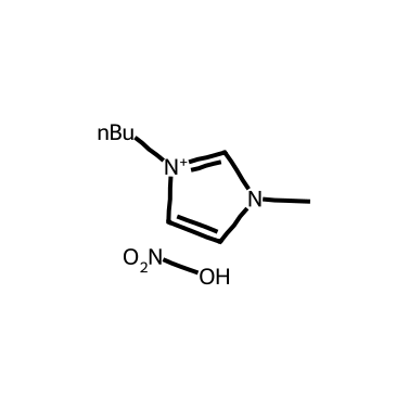 CCCC[n+]1ccn(C)c1.O=[N+]([O-])O